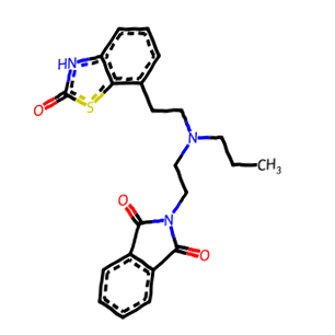 CCCN(CCc1cccc2[nH]c(=O)sc12)CCN1C(=O)c2ccccc2C1=O